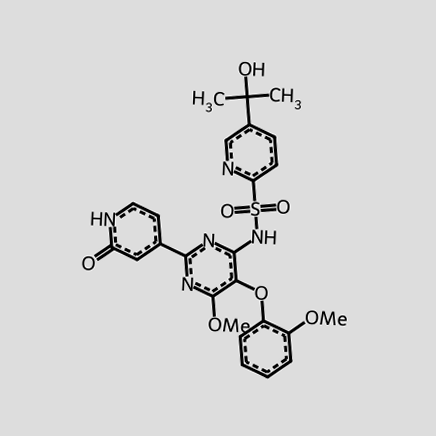 COc1ccccc1Oc1c(NS(=O)(=O)c2ccc(C(C)(C)O)cn2)nc(-c2cc[nH]c(=O)c2)nc1OC